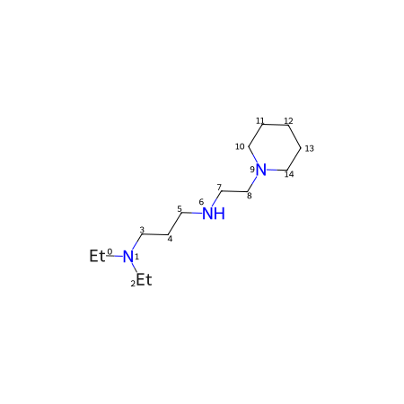 CCN(CC)CCCNCCN1CCCCC1